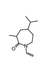 C=CN1CCC(C(C)C)CC(C)C1=O